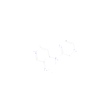 Nc1cnccc1Nc1cnccn1